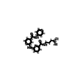 CCN(CC)CCCNC(=O)c1cccc(Nc2cc(C(=O)Nc3ccncc3)ccn2)n1